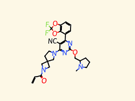 C=CC(=O)N1CC2(CCN(c3nc(OCC4CCCN4C)nc(-c4cccc5c4OC(F)(F)O5)c3C#N)C2)C1